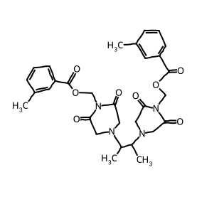 Cc1cccc(C(=O)OCN2C(=O)CN(C(C)C(C)N3CC(=O)N(COC(=O)c4cccc(C)c4)C(=O)C3)CC2=O)c1